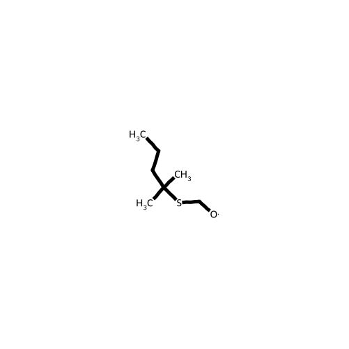 CCCC(C)(C)SC[O]